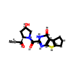 COC(=O)[C@@H]1C[C@@H](O)CN1C(=O)c1nc2sc3c(c2c(=O)[nH]1)CCC3